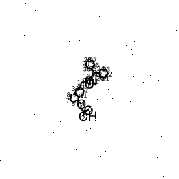 O=C(O)COc1cccc2c1CCC(Cc1cc(C(c3ccccc3)c3ccccc3)no1)=C2